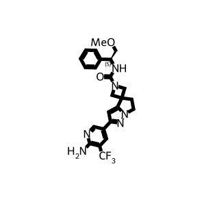 COC[C@@H](NC(=O)N1CC2(CCn3nc(-c4cnc(N)c(C(F)(F)F)c4)cc32)C1)c1ccccc1